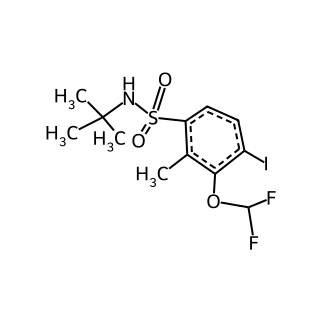 Cc1c(S(=O)(=O)NC(C)(C)C)ccc(I)c1OC(F)F